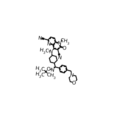 CN(c1c(C#N)c(=O)n(C)c2ccc(C#N)nc12)C1CCC(/C(=N\OC(C)(C)C)c2ccc(CN3CCOCC3)cc2)CC1